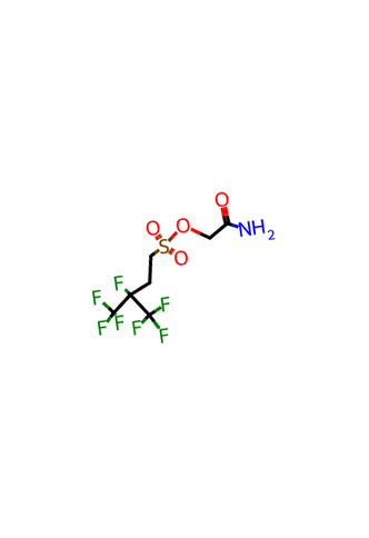 NC(=O)COS(=O)(=O)CCC(F)(C(F)(F)F)C(F)(F)F